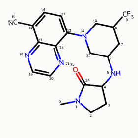 CN1CCC(NC2CC(C(F)(F)F)CN(c3ccc(C#N)c4nccnc34)C2)C1=O